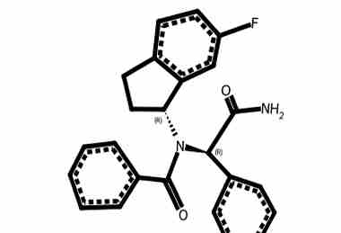 NC(=O)[C@@H](c1ccccc1)N(C(=O)c1ccccc1)[C@@H]1CCc2ccc(F)cc21